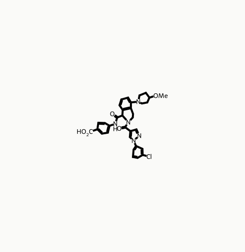 COC1CCN(c2cccc3c2CCN(C(=O)c2cnn(-c4cccc(Cl)c4)c2)C3C(=O)Nc2ccc(C(=O)O)cc2)CC1